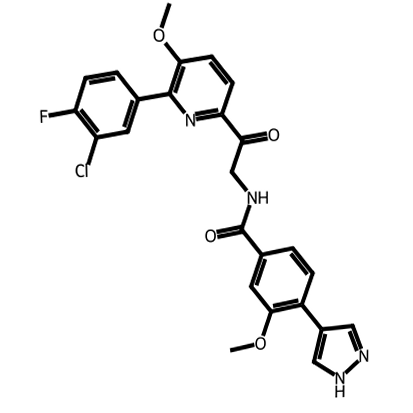 COc1cc(C(=O)NCC(=O)c2ccc(OC)c(-c3ccc(F)c(Cl)c3)n2)ccc1-c1cn[nH]c1